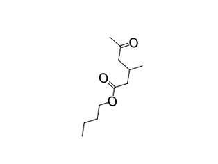 CCCCOC(=O)CC(C)CC(C)=O